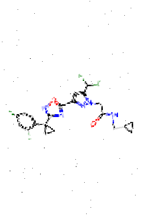 O=C(Cn1nc(-c2nc(C3(c4ccc(F)cc4Cl)CC3)no2)cc1C(F)F)NCC1CC1